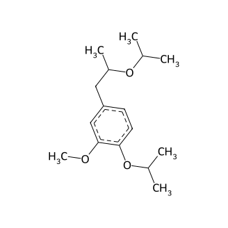 COc1cc(CC(C)OC(C)C)ccc1OC(C)C